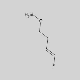 FC=CCCO[SiH3]